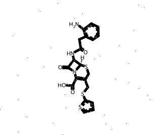 Nc1ccccc1CC(=O)NC1C(=O)N2C(C(=O)O)=C(CSc3cccs3)CS[C@H]12